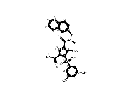 CCCCc1c(C(=O)N(C)Cc2ccc3ncccc3c2)[nH]c(C(N)=O)c1S(=O)(=O)c1cc(Cl)cc(Cl)c1